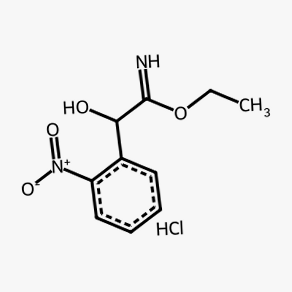 CCOC(=N)C(O)c1ccccc1[N+](=O)[O-].Cl